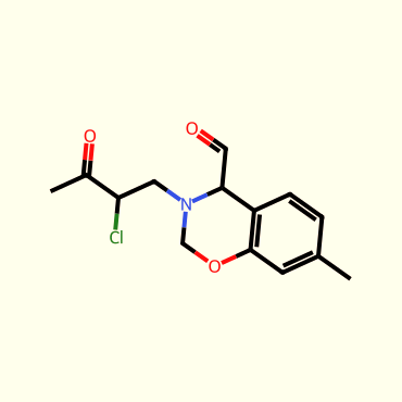 CC(=O)C(Cl)CN1COc2cc(C)ccc2C1C=O